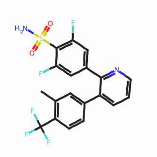 Cc1cc(-c2cccnc2-c2cc(F)c(S(N)(=O)=O)c(F)c2)ccc1C(F)(F)F